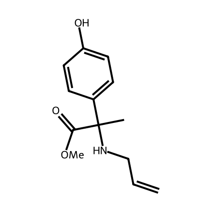 C=CCNC(C)(C(=O)OC)c1ccc(O)cc1